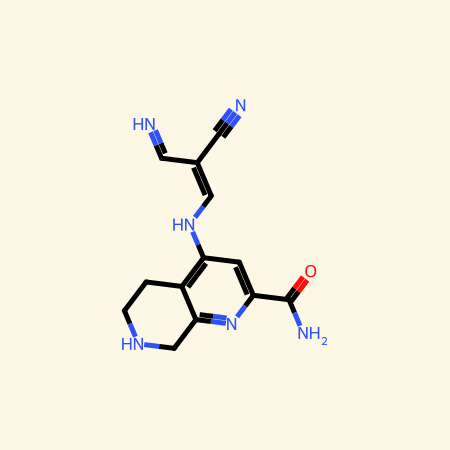 N#C/C(C=N)=C/Nc1cc(C(N)=O)nc2c1CCNC2